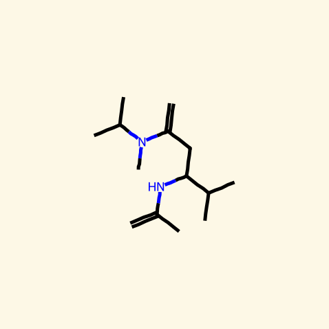 C=C(C)NC(CC(=C)N(C)C(C)C)C(C)C